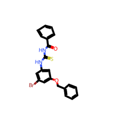 O=C(NC(=S)Nc1cc(Br)cc(OCc2ccccc2)c1)c1ccccc1